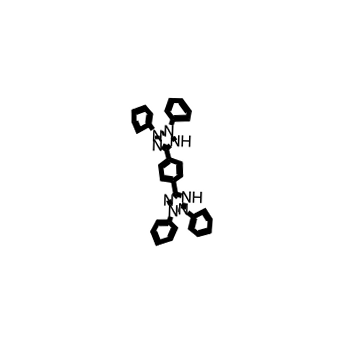 c1ccc(N2N=C(c3ccc(C4=NN(c5ccccc5)N(c5ccccc5)N4)cc3)NN2c2ccccc2)cc1